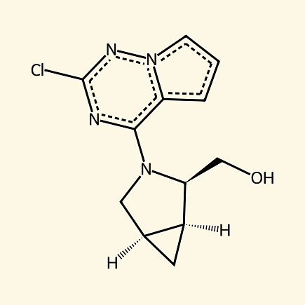 OC[C@H]1[C@H]2C[C@H]2CN1c1nc(Cl)nn2cccc12